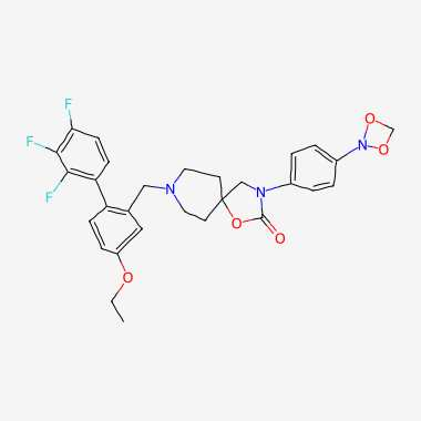 CCOc1ccc(-c2ccc(F)c(F)c2F)c(CN2CCC3(CC2)CN(c2ccc(N4OCO4)cc2)C(=O)O3)c1